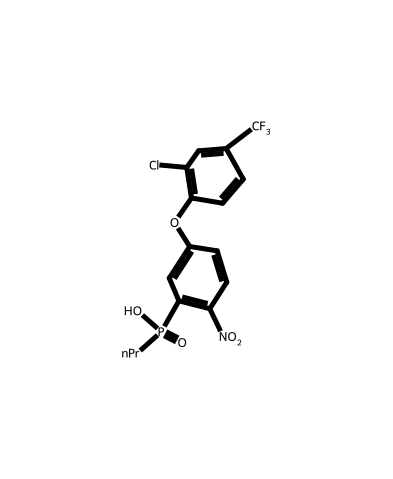 CCCP(=O)(O)c1cc(Oc2ccc(C(F)(F)F)cc2Cl)ccc1[N+](=O)[O-]